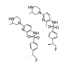 Cc1nc(N2CCNC(C)C2)ccc1NS(=O)(=O)c1ccc([C@@H](C)CF)cc1.Cc1nc(N2CCNC(C)C2)ccc1NS(=O)(=O)c1ccc([C@H](C)CF)cc1